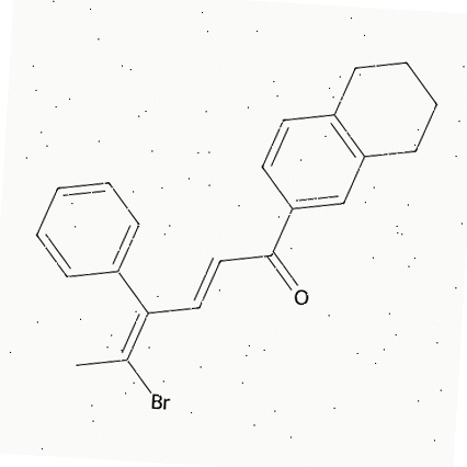 C/C(Br)=C(/C=C/C(=O)c1ccc2c(c1)CCCC2)c1ccccc1